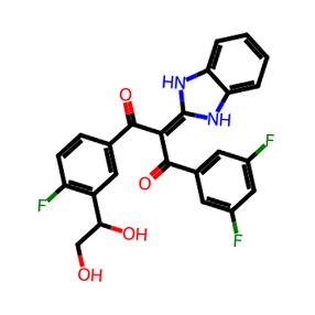 O=C(C(C(=O)c1ccc(F)c(C(O)CO)c1)=C1Nc2ccccc2N1)c1cc(F)cc(F)c1